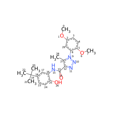 COc1ccc(OC)c(-n2nnc(C(=O)Nc3cc(C(C)(C)C)ccc3O)c2C)c1